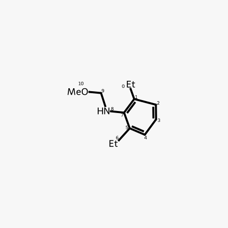 CCc1cccc(CC)c1NCOC